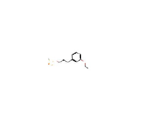 CS(=O)(=O)OCCCc1cccc(OCC(=O)O)c1